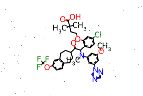 COc1cc(N(C)C(C(=O)C2CCc3ccc(OC(F)(F)F)cc3CC2)c2ccc(Cl)cc2OCCC(C)(C)C(=O)O)cc(-n2cncn2)c1